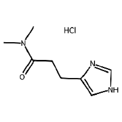 CN(C)C(=O)CCc1c[nH]cn1.Cl